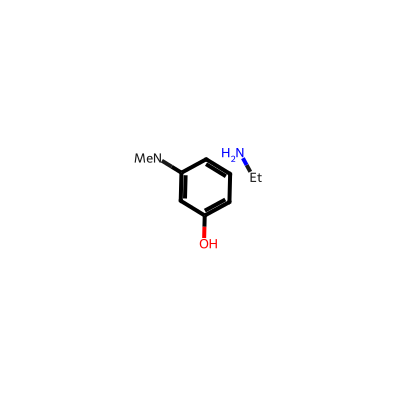 CCN.CNc1cccc(O)c1